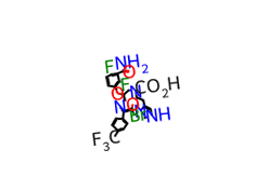 NC(=O)c1c(F)ccc(OC(CN(CCc2c[nH]cn2)C(=O)O)c2nc(-c3ccc(C(F)(F)F)cc3)c(Br)o2)c1F